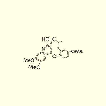 COc1ccc(Oc2ccnc3cc(OC)c(OC)cc23)c(C=C(C)C(=O)O)c1